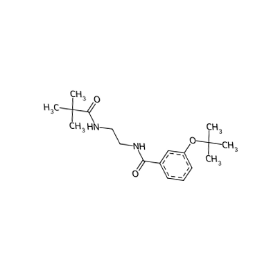 CC(C)(C)Oc1cccc(C(=O)NCCNC(=O)C(C)(C)C)c1